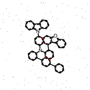 c1ccc(-c2ccc(-c3ccccc3N(c3ccc(-n4c5ccccc5c5ccccc54)cc3)c3ccccc3-c3cccc4oc5ccccc5c34)cc2)cc1